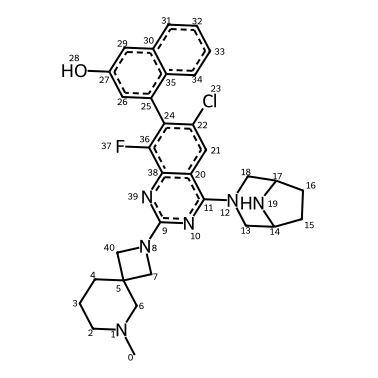 CN1CCCC2(C1)CN(c1nc(N3CC4CCC(C3)N4)c3cc(Cl)c(-c4cc(O)cc5ccccc45)c(F)c3n1)C2